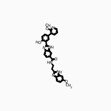 COc1ccc2nc(CCNC(=O)c3ccc4nc(-c5cc(-c6cccnc6OC)ccc5O)[nH]c4c3)[nH]c2c1